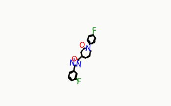 O=C1CC(c2nc(-c3cccc(F)c3)no2)CCCN1c1ccc(F)cc1